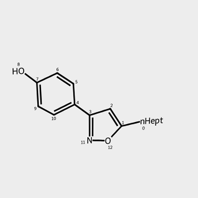 CCCCCCCc1cc(-c2ccc(O)cc2)no1